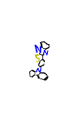 c1ccc2nc3c(nc2c1)sc1cc(-n2c4ccccc4c4ccccc42)ccc13